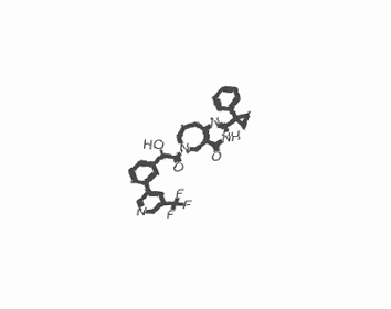 O=C([C@H](O)c1cccc(-c2cncc(C(F)(F)F)c2)c1)N1CCCc2nc(C3(c4ccccc4)CC3)[nH]c(=O)c2C1